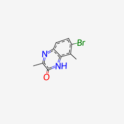 Cc1nc2ccc(Br)c(C)c2[nH]c1=O